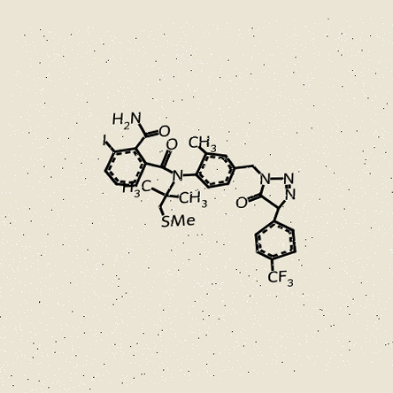 CSCC(C)(C)N(C(=O)c1cccc(I)c1C(N)=O)c1ccc(CN2N=NC(c3ccc(C(F)(F)F)cc3)C2=O)cc1C